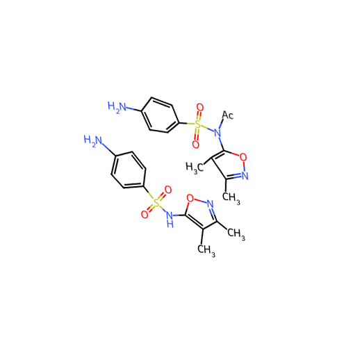 CC(=O)N(c1onc(C)c1C)S(=O)(=O)c1ccc(N)cc1.Cc1noc(NS(=O)(=O)c2ccc(N)cc2)c1C